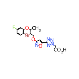 CC(CCOc1cc(-c2nnn(CC(=O)O)n2)on1)Oc1cc(F)ccc1Br